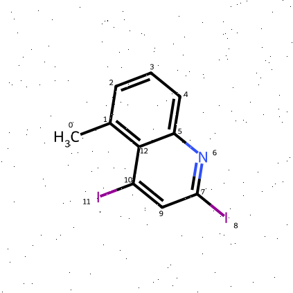 Cc1cccc2nc(I)cc(I)c12